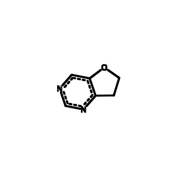 c1ncc2c(n1)CCO2